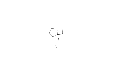 COC[C@@]12CCCN1[C@H](C)C2